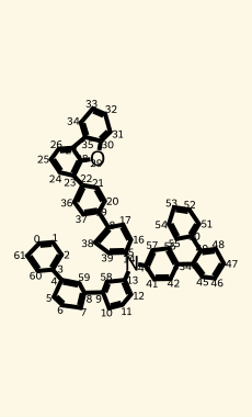 c1ccc(-c2cccc(-c3cccc(N(c4ccc(-c5ccc(-c6cccc7c6oc6ccccc67)cc5)cc4)c4ccc(-c5ccccc5-c5ccccc5)cc4)c3)c2)cc1